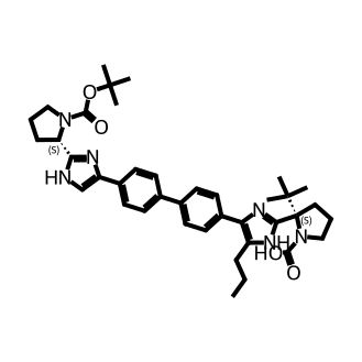 CCCc1[nH]c([C@@]2(C(C)(C)C)CCCN2C(=O)O)nc1-c1ccc(-c2ccc(-c3c[nH]c([C@@H]4CCCN4C(=O)OC(C)(C)C)n3)cc2)cc1